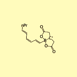 CCC/C=C/C=C\C=C\[B-]12OC(=O)C[C+]1CC(=O)O2